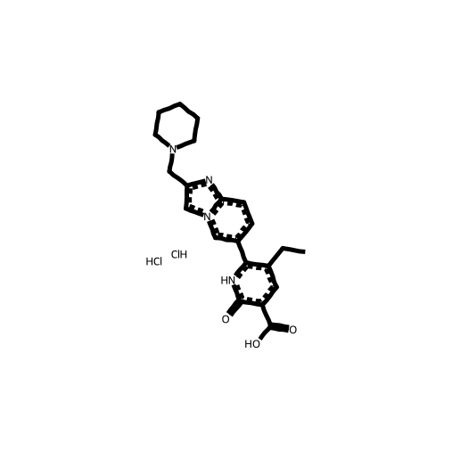 CCc1cc(C(=O)O)c(=O)[nH]c1-c1ccc2nc(CN3CCCCC3)cn2c1.Cl.Cl